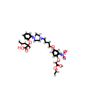 CCCC(C)(Oc1ccccc1N1CCN(CCCCOc2ccc(OCC(=O)OCC)c([N+](=O)[O-])c2)CC1)C(=O)O